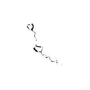 CCN(CC)CCCNC(C)c1ccc(OCCCc2ccccc2)cc1